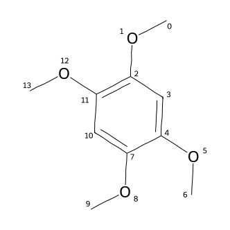 COc1cc(OC)c(OC)cc1OC